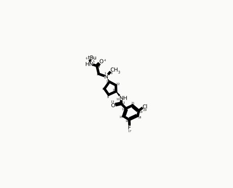 CN(CC(=O)NC(C)(C)C)[C@H]1CC[C@H](NC(=O)c2cc(F)cc(Cl)c2)C1